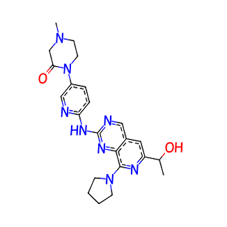 CC(O)c1cc2cnc(Nc3ccc(N4CCN(C)CC4=O)cn3)nc2c(N2CCCC2)n1